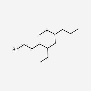 CCCC(CC)CC(CC)CCCBr